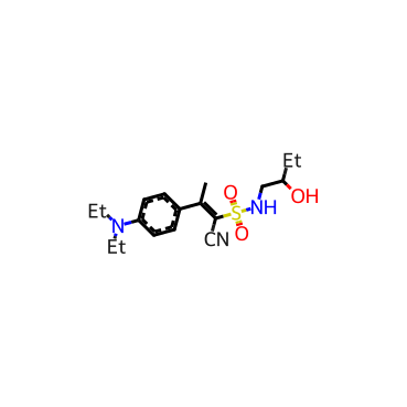 CCC(O)CNS(=O)(=O)/C(C#N)=C(\C)c1ccc(N(CC)CC)cc1